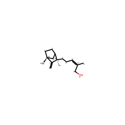 C=C1[C@@H]2CCC(C2)[C@@]1(C)CCC=C(C)CO